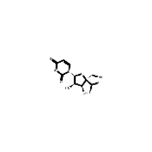 O=c1ccn([C@@H]2O[C@@](CO)(C(F)F)[C@@H](O)[C@H]2O)c(=O)[nH]1